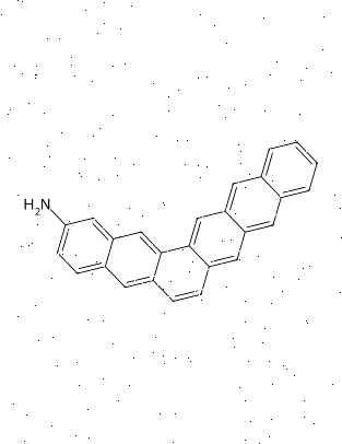 Nc1ccc2cc3ccc4cc5cc6ccccc6cc5cc4c3cc2c1